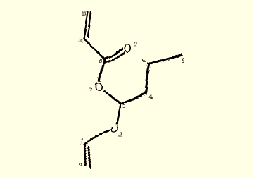 C=COC(CCC)OC(=O)C=C